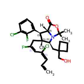 C=C/C=C(Cl)\C=C(\F)C[C@@]1(C#N)[C@H](CC2(CO)CCC2)N2[C@@H](C(=O)OC2(C)C)[C@@H]1c1cccc(Cl)c1F